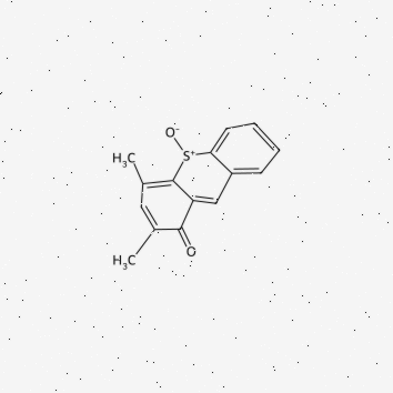 Cc1cc(C)c(=O)c2cc3ccccc3[s+]([O-])c1-2